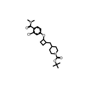 CN(C)C(=O)c1ccc(OC2CCC2CC2CCN(C(=O)OC(C)(C)C)CC2)cc1Cl